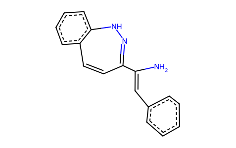 NC(=Cc1ccccc1)C1=NNc2ccccc2C=C1